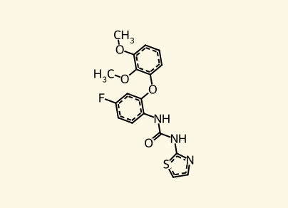 COc1cccc(Oc2cc(F)ccc2NC(=O)Nc2nccs2)c1OC